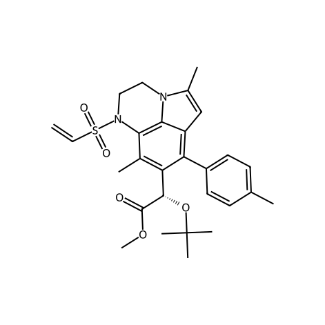 C=CS(=O)(=O)N1CCn2c(C)cc3c(-c4ccc(C)cc4)c([C@H](OC(C)(C)C)C(=O)OC)c(C)c1c32